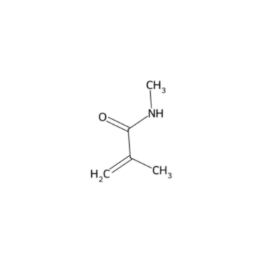 C=C(C)C(=O)NC